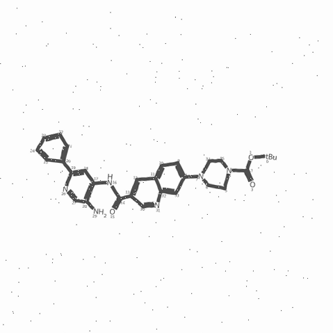 CC(C)(C)OC(=O)N1CCN(c2ccc3cc(C(=O)Nc4cc(-c5ccccc5)ncc4N)cnc3c2)CC1